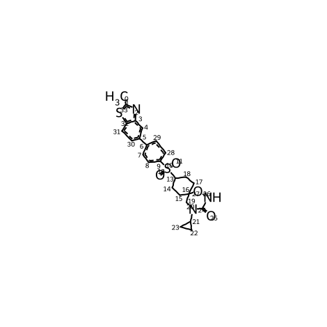 Cc1nc2cc(-c3ccc(S(=O)(=O)C4CCC5(CC4)CN(C4CC4)C(=O)NO5)cc3)ccc2s1